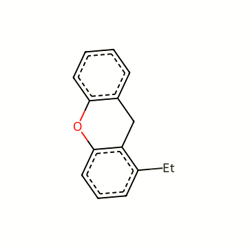 CCc1cccc2c1Cc1ccccc1O2